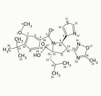 COc1cc(C(=O)N2[C@@H](c3cscn3)[C@H](c3noc(C)n3)C[C@@]2(CC(C)C)C(=O)O)ccc1C(C)(C)C